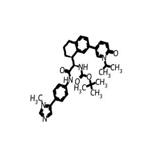 CC(C)n1cc(-c2ccc3c(c2)[C@@H]([C@@H](NC(=O)OC(C)(C)C)C(=O)Nc2ccc(-c4cncn4C)cc2)CCC3)ccc1=O